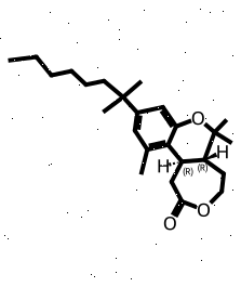 CCCCCCC(C)(C)c1cc(C)c2c(c1)OC(C)(C)[C@@H]1CCOC(=O)C[C@@H]21